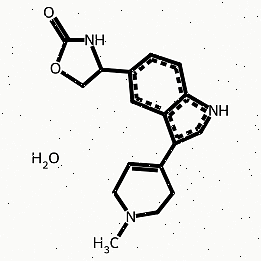 CN1CC=C(c2c[nH]c3ccc(C4COC(=O)N4)cc23)CC1.O